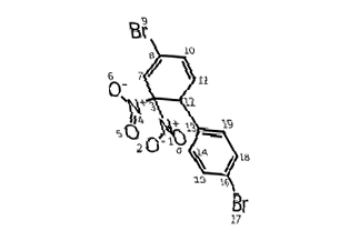 O=[N+]([O-])C1([N+](=O)[O-])C=C(Br)C=CC1c1ccc(Br)cc1